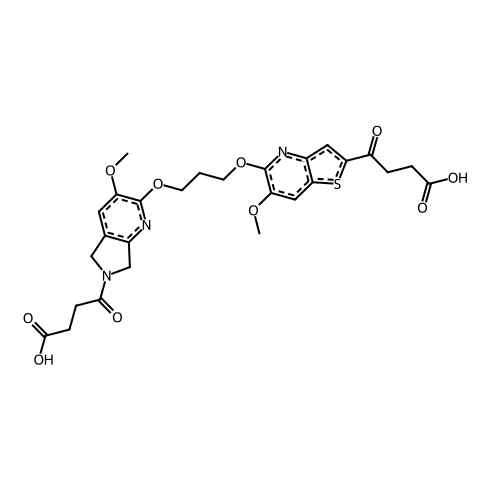 COc1cc2c(nc1OCCCOc1nc3cc(C(=O)CCC(=O)O)sc3cc1OC)CN(C(=O)CCC(=O)O)C2